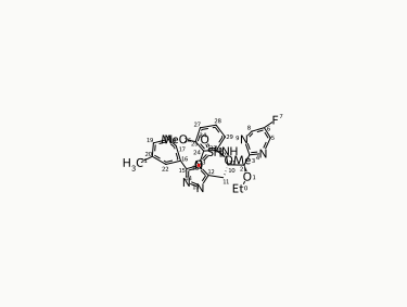 CCO[C@H](c1ncc(F)cn1)[C@H](Cc1nnc(-c2cncc(C)c2)n1-c1c(OC)cccc1OC)N[SH](=O)=O